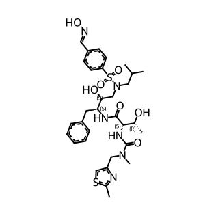 Cc1nc(CN(C)C(=O)N[C@H](C(=O)N[C@@H](Cc2ccccc2)[C@@H](O)CN(CC(C)C)S(=O)(=O)c2ccc(C=NO)cc2)[C@@H](C)O)cs1